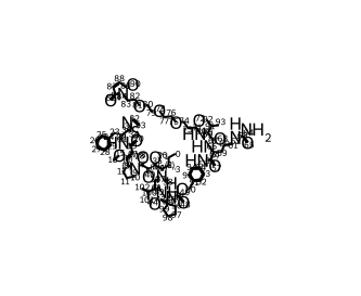 CC[C@H](C)[C@@H]([C@@H](CC(=O)N1CCC[C@H]1[C@H](OC)[C@@H](C)C(=O)N[C@@H](Cc1ccccc1)c1nccs1)OC)N(C)C(=O)[C@@H](NC(=O)C1(NC(=O)OCc2ccc(NC(=O)[C@H](CCCNC(N)=O)NC(=O)[C@@H](NC(=O)CCOCCOCCOCCN3C(=O)C=CC3=O)C(C)C)cc2)CCCC1)C(C)C